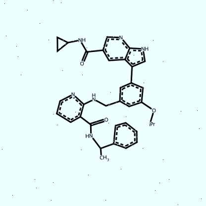 CC(C)Oc1cc(CNc2ncccc2C(=O)NC(C)c2ccccc2)cc(-c2c[nH]c3ncc(C(=O)NC4CC4)cc23)c1